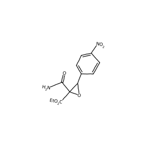 CCOC(=O)C1(C(N)=O)OC1c1ccc([N+](=O)[O-])cc1